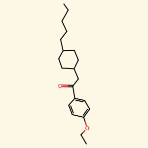 CCCCCC1CCC(CC(=O)c2ccc(OCC)cc2)CC1